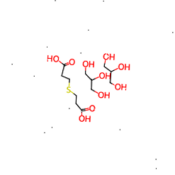 O=C(O)CCSCCC(=O)O.OCC(O)CO.OCC(O)CO